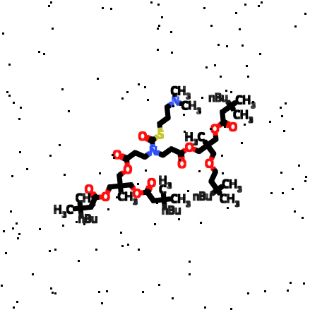 CCCCC(C)(C)CCOCC(C)(COC(=O)CCN(CCC(=O)OCC(C)(COC(=O)CC(C)(C)CCCC)COC(=O)CC(C)(C)CCCC)C(=O)SCCCN(C)C)COC(=O)CC(C)(C)CCCC